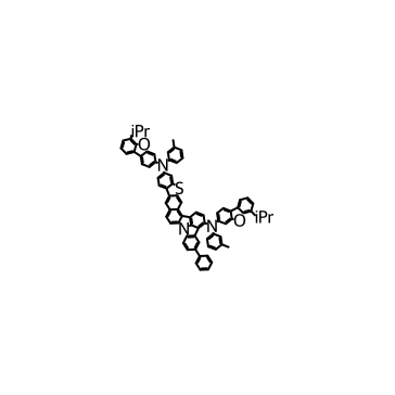 Cc1cccc(N(c2ccc3c(c2)oc2c(C(C)C)cccc23)c2ccc3c(c2)sc2cc4c(ccc5c4c4ccc(N(c6cccc(C)c6)c6ccc7c(c6)oc6c(C(C)C)cccc67)c6c7cc(-c8ccccc8)ccc7n5c46)cc23)c1